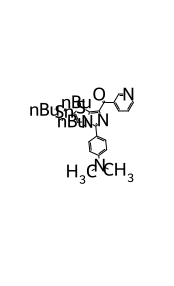 CCC[CH2][Sn]([CH2]CCC)([CH2]CCC)[c]1cn2c(-c3ccc(N(C)C)cc3)nc(C(=O)c3cccnc3)c2s1